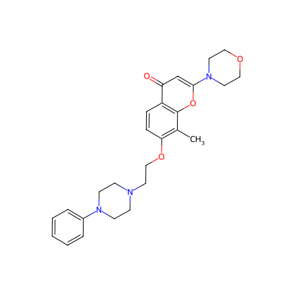 Cc1c(OCCN2CCN(c3ccccc3)CC2)ccc2c(=O)cc(N3CCOCC3)oc12